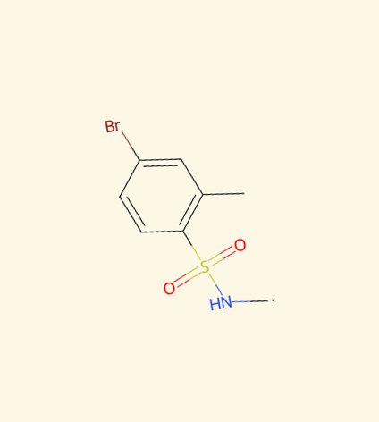 [CH2]NS(=O)(=O)c1ccc(Br)cc1C